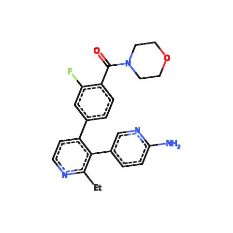 CCc1nccc(-c2ccc(C(=O)N3CCOCC3)c(F)c2)c1-c1ccc(N)nc1